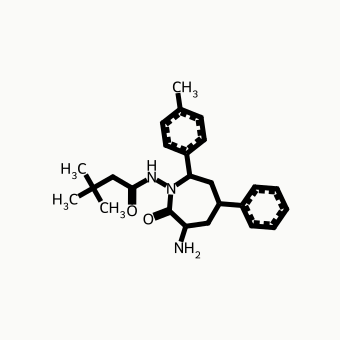 Cc1ccc(C2CC(c3ccccc3)CC(N)C(=O)N2NC(=O)CC(C)(C)C)cc1